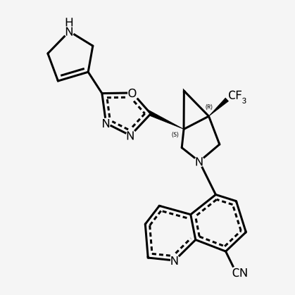 N#Cc1ccc(N2C[C@]3(c4nnc(C5=CCNC5)o4)C[C@]3(C(F)(F)F)C2)c2cccnc12